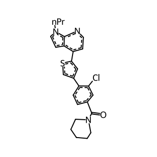 CCCn1ccc2c(-c3cc(-c4ccc(C(=O)N5CCCCC5)cc4Cl)cs3)ccnc21